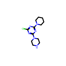 Clc1nc(N2CCCCC2)nc(N2CCNCC2)n1